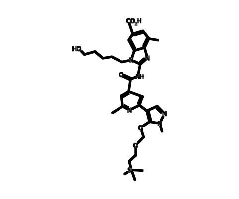 Cc1cc(C(=O)Nc2nc3c(C)cc(C(=O)O)cc3n2CCCCCO)cc(-c2cnn(C)c2OCOCC[Si](C)(C)C)n1